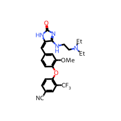 CCN(CC)CCNC1=NC(=O)NC1=Cc1ccc(Oc2ccc(C#N)cc2C(F)(F)F)c(OC)c1